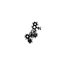 N#CC1c2ccccc2CCC1CC(=O)N1CCC[C@H]1C(=O)Nc1ccccc1-n1cccc1